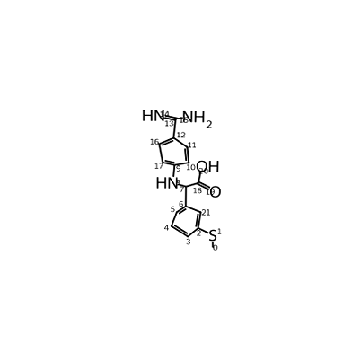 CSc1cccc(C(Nc2ccc(C(=N)N)cc2)C(=O)O)c1